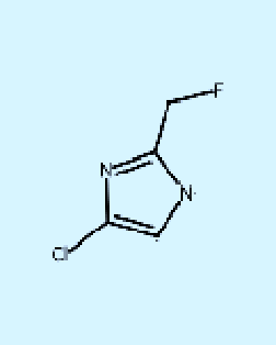 FCC1=NC(Cl)=[C][N]1